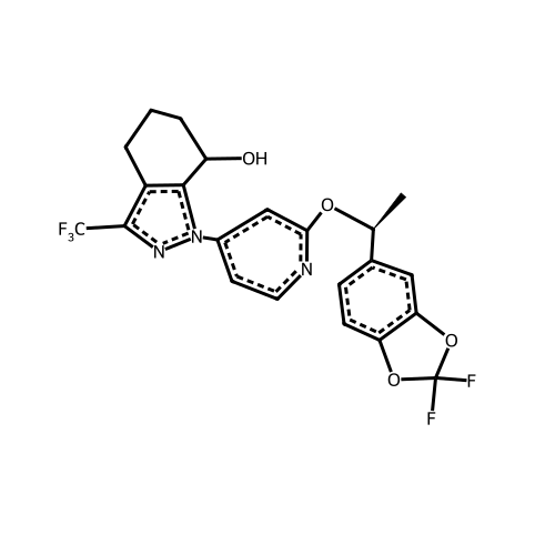 C[C@H](Oc1cc(-n2nc(C(F)(F)F)c3c2C(O)CCC3)ccn1)c1ccc2c(c1)OC(F)(F)O2